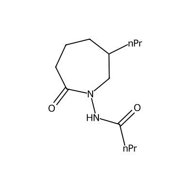 CCCC(=O)NN1CC(CCC)CCCC1=O